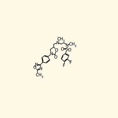 Cc1nc(-c2ccc(N3CC(CN(C)CCN(C)S(=O)(=O)c4ccc(F)c(F)c4)OC3=O)cc2)no1